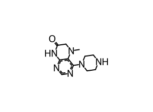 CN1CC(=O)Nc2ncnc(N3CCNCC3)c21